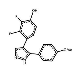 COc1ccc(-c2[nH]ncc2-c2ccc(O)c(F)c2F)cc1